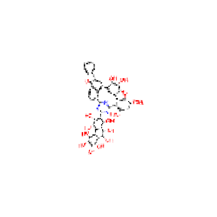 OC1=C(c2nc(-c3ccccc3)nc(-c3c(O)c(O)c4c(c3O)c(O)c(O)c3c(O)c(O)c(O)c(O)c34)n2)c2c(oc3c(O)c(O)c(-c4ccc5oc6ccccc6c5c4)cc23)C(O)C1